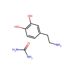 NC(N)=O.NCCc1ccc(O)c(O)c1